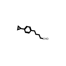 O=CCCCCc1ccc(C2CC2)cc1